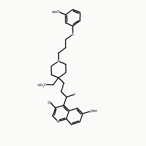 COc1cccc(SCCCN2CCC(CCC(F)c3c(Cl)cnc4ccc(OC)cc34)(CC(=O)O)CC2)c1